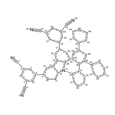 N#Cc1cc(C#N)cc(-c2ccc3c(c2)c2cc(-c4cc(C#N)cc(C#N)c4)ccc2n3-c2ccccc2-c2ccc(-c3ccccc3)cc2-c2ccccc2)c1